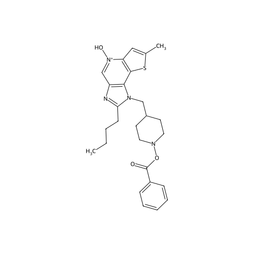 CCCCc1nc2c[n+](O)c3cc(C)sc3c2n1CC1CCN(OC(=O)c2ccccc2)CC1